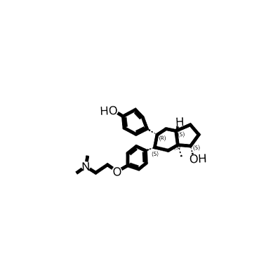 CN(C)CCOc1ccc([C@H]2C[C@@]3(C)[C@@H](CC[C@@H]3O)C[C@H]2c2ccc(O)cc2)cc1